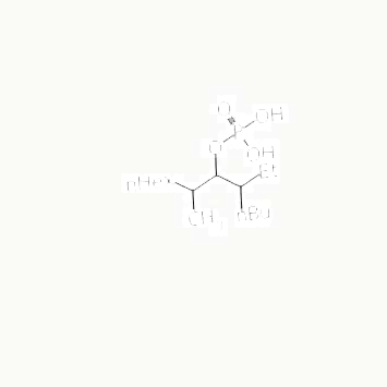 CCCCCCC(C)C(OP(=O)(O)O)C(CC)CCCC